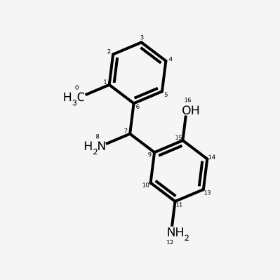 Cc1ccccc1C(N)c1cc(N)ccc1O